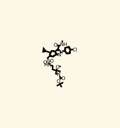 CNC(=O)c1c2cc(C3CC3)c(CS(=O)(=O)NCCC3(OC)CN(C(=O)OC(C)(C)C)C3)cc2nn1-c1ccc(Cl)cc1